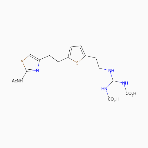 CC(=O)Nc1nc(CCc2ccc(CCNC(NC(=O)O)NC(=O)O)s2)cs1